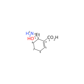 CCO.N.O=C(O)C1=CCCCC1